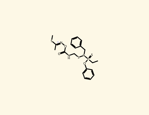 CCP(=S)(Oc1ccccc1)N(Cc1ccccc1)SCNC(=O)O/N=C(\C)SC